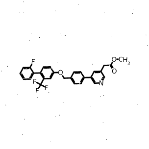 COC(=O)Cc1cncc(-c2ccc(COc3ccc(-c4ccccc4F)c(C(F)(F)F)c3)cc2)c1